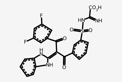 N=C(NS(=O)(=O)c1cccc(C(=O)C(C(=O)c2cc(F)cc(F)c2)=C2Nc3ccccc3N2)c1)C(=O)O